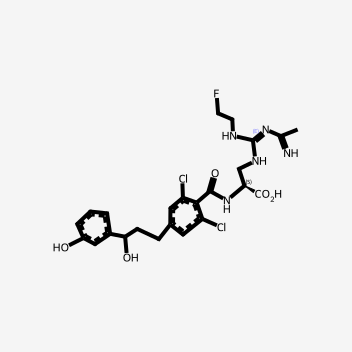 CC(=N)/N=C(/NCCF)NC[C@H](NC(=O)c1c(Cl)cc(CCC(O)c2cccc(O)c2)cc1Cl)C(=O)O